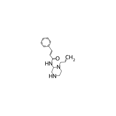 C=CCN1CCNCC1NC(=O)C=Cc1ccccc1